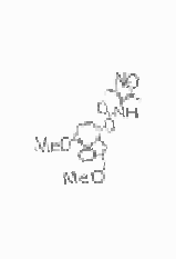 COCc1cc2c(OC(=O)Nc3c(C)noc3C)ccc(OC)c2o1